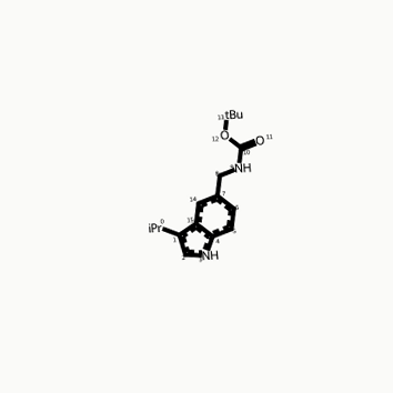 CC(C)c1c[nH]c2ccc(CNC(=O)OC(C)(C)C)cc12